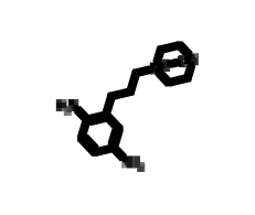 Nc1ccc(N)c(CCC[N+]23CCN(CC2)CC3)c1